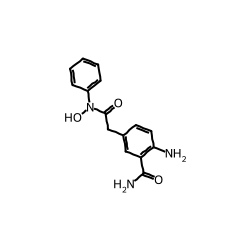 NC(=O)c1cc(CC(=O)N(O)c2ccccc2)ccc1N